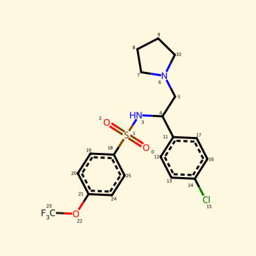 O=S(=O)(NC(CN1CCCC1)c1ccc(Cl)cc1)c1ccc(OC(F)(F)F)cc1